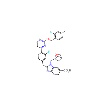 Cc1ccc(COc2nccc(-c3ccc(Cc4nc5ccc(C(=O)O)cc5n4CC45CC(CO4)C5)cc3F)n2)c(F)c1